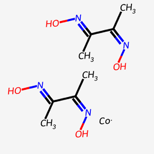 CC(=NO)C(C)=NO.CC(=NO)C(C)=NO.[Co]